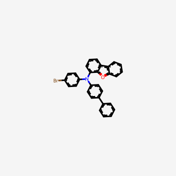 Brc1ccc(N(c2ccc(-c3ccccc3)cc2)c2cccc3c2oc2ccccc23)cc1